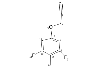 C#CCOc1cc(F)c(C)c(F)c1